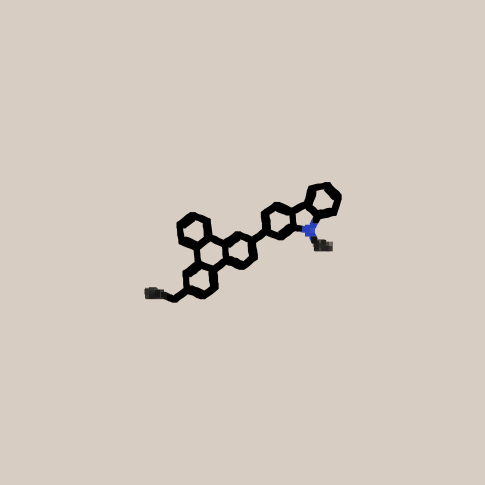 CC(C)(C)Cc1ccc2c3ccc(-c4ccc5c6ccccc6n(C(C)(C)C)c5c4)cc3c3ccccc3c2c1